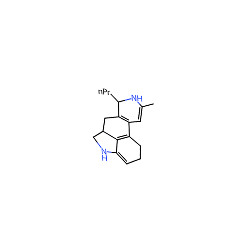 CCCC1NC(C)=CC2=C1CC1CNC3=CCCC2=C31